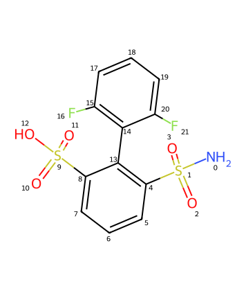 NS(=O)(=O)c1cccc(S(=O)(=O)O)c1-c1c(F)cccc1F